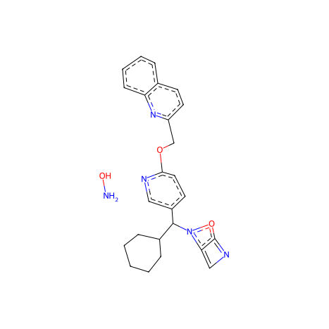 C1=c2c(on2C(c2ccc(OCc3ccc4ccccc4n3)nc2)C2CCCCC2)=N1.NO